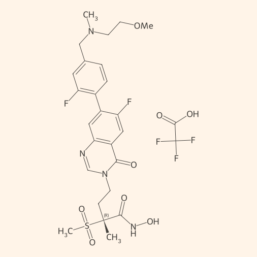 COCCN(C)Cc1ccc(-c2cc3ncn(CC[C@](C)(C(=O)NO)S(C)(=O)=O)c(=O)c3cc2F)c(F)c1.O=C(O)C(F)(F)F